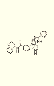 O=C(N[C@H]1CCOc2ccccc21)c1cccc(N[C@@]2(c3nnc(-c4ccncc4)[nH]3)CCNC2)c1